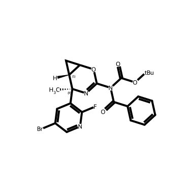 CC(C)(C)OC(=O)N(C(=O)c1ccccc1)C1=N[C@@](C)(c2cc(Br)cnc2F)[C@@H]2CC2O1